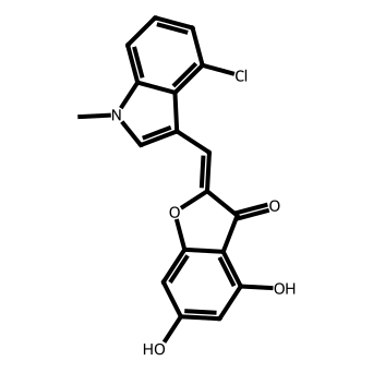 Cn1cc(C=C2Oc3cc(O)cc(O)c3C2=O)c2c(Cl)cccc21